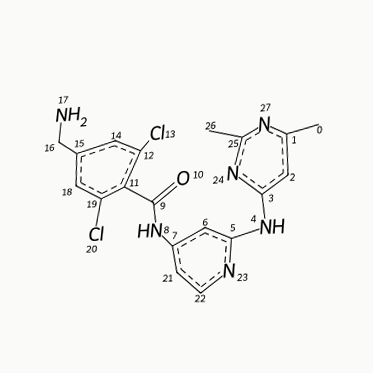 Cc1cc(Nc2cc(NC(=O)c3c(Cl)cc(CN)cc3Cl)ccn2)nc(C)n1